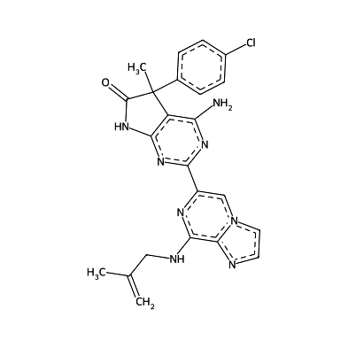 C=C(C)CNc1nc(-c2nc(N)c3c(n2)NC(=O)C3(C)c2ccc(Cl)cc2)cn2ccnc12